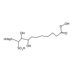 CCCCCCCC(C(O)C(O)CCCCCCC(=O)OO)S(=O)(=O)O